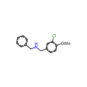 COc1ccc(CN[CH]c2ccccc2)cc1Cl